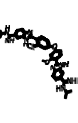 COc1cc(Oc2ccc(-c3nc4ccc(C(=N)NC(C)C)cc4[nH]3)c(Cl)c2)ccc1-c1nc2ccc(C(=N)NC(C)C)cc2[nH]1